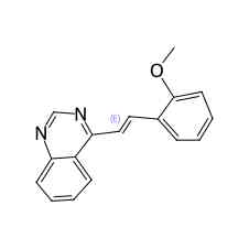 COc1ccccc1/C=C/c1ncnc2ccccc12